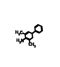 CC1=CC(c2ccccc2)CC(C)=C1N